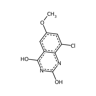 COc1cc(Cl)c2nc(O)nc(O)c2c1